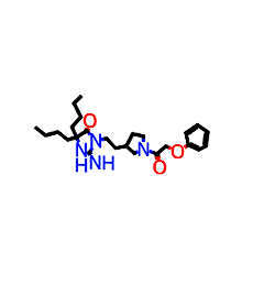 CCCCC1(CCCC)NC(=N)N(CCC2CCN(C(=O)COc3ccccc3)C2)C1=O